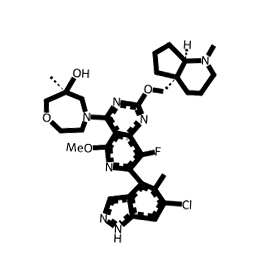 COc1nc(-c2c(C)c(Cl)cc3[nH]ncc23)c(F)c2nc(OC[C@]34CCC[C@H]3N(C)CCC4)nc(N3CCOC[C@@](C)(O)C3)c12